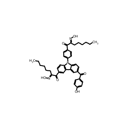 CCCCCC/C(=N\O)C(=O)c1ccc(-n2c3ccc(C(=O)/C(CCCCCC)=N/O)cc3c3cc(C(=O)c4ccc(O)cc4)ccc32)cc1